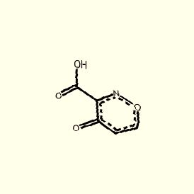 O=C(O)c1noccc1=O